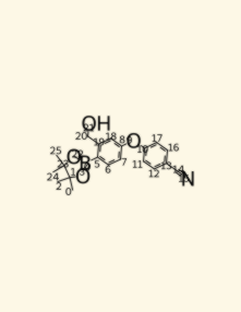 CC1(C)OB(c2ccc(Oc3ccc(C#N)cc3)cc2CO)OC1(C)C